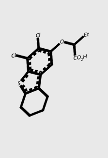 CCC(Oc1cc2c3c(sc2c(Cl)c1Cl)CCCC3)C(=O)O